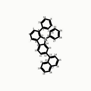 c1ccc(-c2cccc3c4ccc(-c5cccc6ccccc56)cc4n(-c4ccccc4)c23)cc1